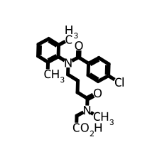 Cc1cccc(C)c1N(CCCC(=O)N(C)CC(=O)O)C(=O)c1ccc(Cl)cc1